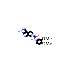 COc1ccc(NC(=O)N2CCc3c(cnc4[nH]ncc34)C2)cc1OC